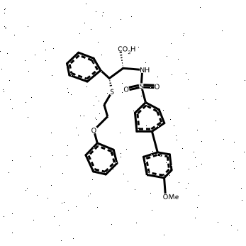 COc1ccc(-c2ccc(S(=O)(=O)N[C@@H](C(=O)O)[C@H](SCCOc3ccccc3)c3ccccc3)cc2)cc1